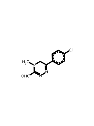 CN1CC(c2ccc(Cl)cc2)=NN=C1C=O